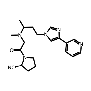 CC(CCn1cnc(-c2cccnc2)c1)N(C)CC(=O)N1CCC[C@H]1C#N